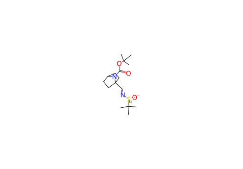 CC(C)(C)OC(=O)N1C2CCC1(C=N[S@+]([O-])C(C)(C)C)CC2